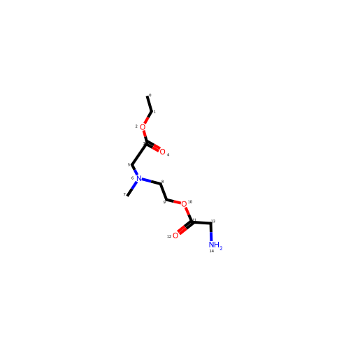 CCOC(=O)CN(C)CCOC(=O)CN